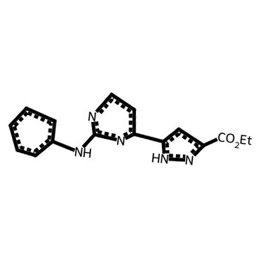 CCOC(=O)c1cc(-c2ccnc(Nc3ccccc3)n2)[nH]n1